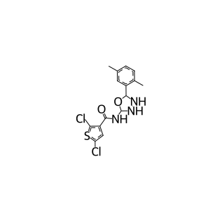 Cc1ccc(C)c(C2NNC(NC(=O)c3cc(Cl)sc3Cl)O2)c1